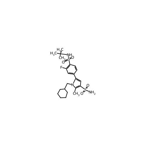 Cc1c(S(N)(=O)=O)cc(-c2ccc(S(=O)(=O)NC(C)(C)C)c(F)c2)n1CC1CCCCC1